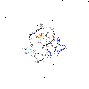 C[C@H]1Nc2ncnc3c2cc(C2(C#N)CCS(=O)(=O)CC2)c(=O)n3CCCCCCN2CC(CCC(F)(F)c3cccc1c3)C2